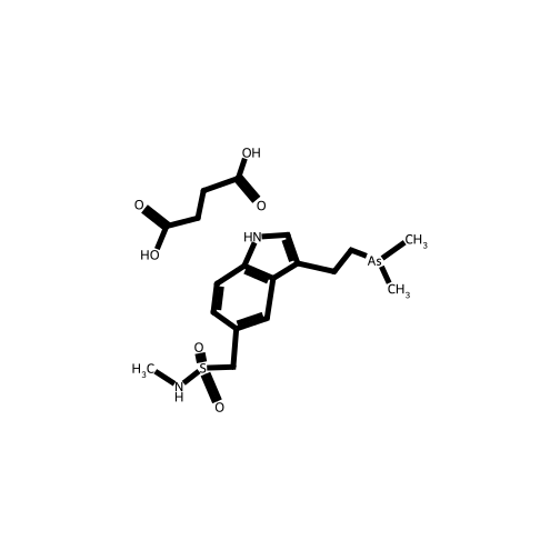 CNS(=O)(=O)Cc1ccc2[nH]cc(CC[As](C)C)c2c1.O=C(O)CCC(=O)O